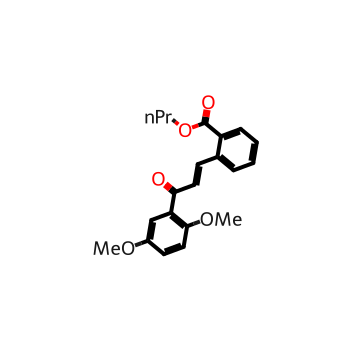 CCCOC(=O)c1ccccc1C=CC(=O)c1cc(OC)ccc1OC